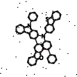 c1ccc(-c2ccc(N(c3ccc4c(c3)sc3ccccc34)c3cc4c(cc3-c3ccc5oc6ccccc6c5c3)c3ccccc3n4-c3ccccc3)cc2)cc1